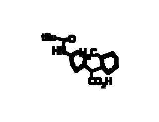 Cc1ccccc1C(C(=O)O)c1ccc(NC(=O)C(C)(C)C)cc1